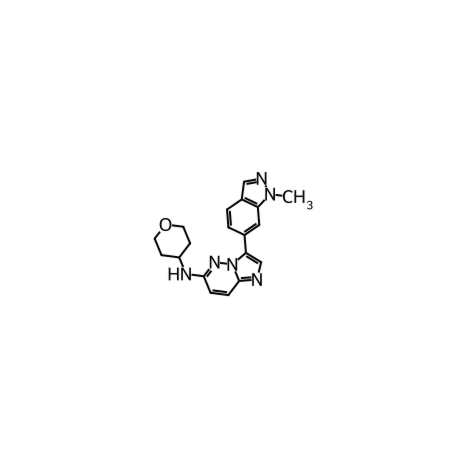 Cn1ncc2ccc(-c3cnc4ccc(NC5CCOCC5)nn34)cc21